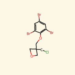 ClCC1(COc2c(Br)cc(Br)cc2Br)COC1